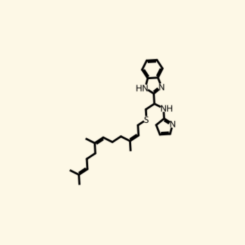 CC(C)=CCCC(C)=CCCC(C)=CCSCC(NC1=NC=CC1)c1nc2ccccc2[nH]1